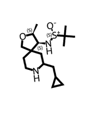 C[C@@H]1OCC2(CCNC(CC3CC3)C2)[C@@H]1N[S@+]([O-])C(C)(C)C